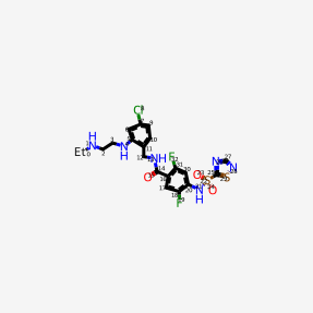 CCNCCNc1cc(Cl)ccc1CNC(=O)c1cc(F)c(NS(=O)(=O)c2ncns2)cc1F